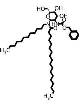 CCCCCCCCCCCCCCCCCC(=O)N(CCCCCCCCCCCC)[C@@H]1O[C@H](CO)[C@H](O)[C@H](O)[C@H]1NC(=O)OCc1ccccc1